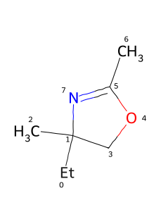 CCC1(C)COC(C)=N1